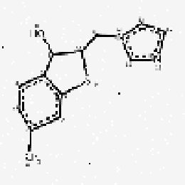 OC1c2ccc(C(F)(F)F)cc2SC1Cn1ccnc1